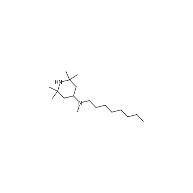 CCCCCCCCN(C)C1CC(C)(C)NC(C)(C)C1